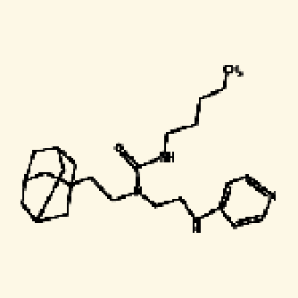 CCCCCNC(=O)N(CCNc1ccncc1)CCC12CC3CC(CC(C3)C1)C2